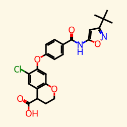 CC(C)(C)c1cc(NC(=O)c2ccc(Oc3cc4c(cc3Cl)C(C(=O)O)CCO4)cc2)on1